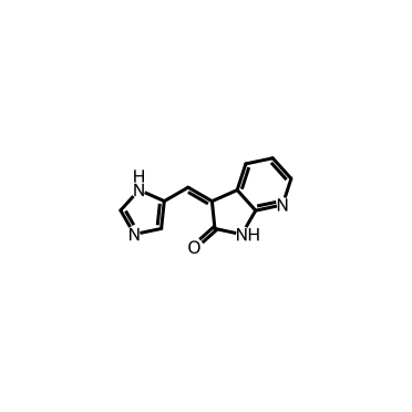 O=C1Nc2ncccc2C1=Cc1cnc[nH]1